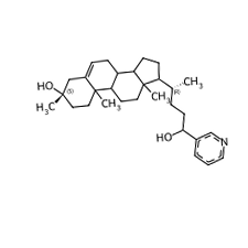 C[C@H](CCC(O)c1cccnc1)C1CCC2C3CC=C4C[C@@](C)(O)CCC4(C)C3CCC21C